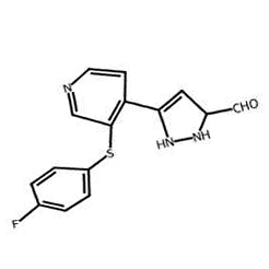 O=CC1C=C(c2ccncc2Sc2ccc(F)cc2)NN1